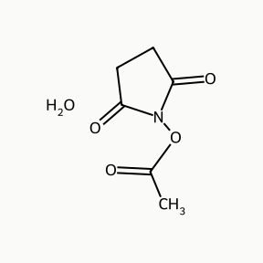 CC(=O)ON1C(=O)CCC1=O.O